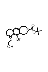 CC(C)(C)OC(=O)N1CCc2cc3c(c(Br)c2CC1)N(CCO)CCC3